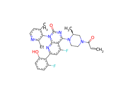 C=CC(=O)N1CCN(c2nc(=O)n(-c3c(C)ccnc3CC)c3nc(-c4c(O)cccc4F)cc(F)c23)[C@@H](C)C1